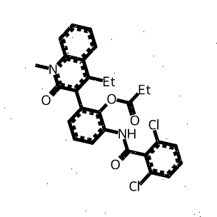 CCC(=O)Oc1c(NC(=O)c2c(Cl)cccc2Cl)cccc1-c1c(CC)c2ccccc2n(C)c1=O